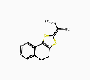 [C-]#[N+]C(C(=O)OCC)=C1SC2=C(S1)c1ccccc1CC2